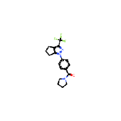 O=C(c1ccc(-n2nc(C(F)(F)F)c3c2CCC3)cc1)N1CCCC1